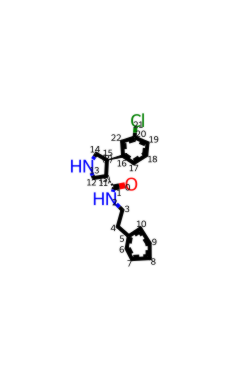 O=C(NCCc1ccccc1)[C@@H]1CNC[C@H]1c1cccc(Cl)c1